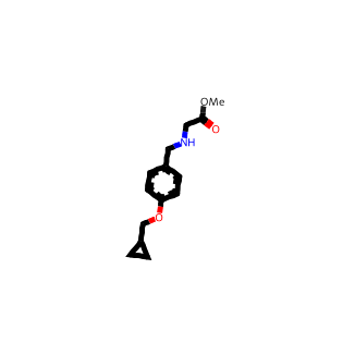 COC(=O)CNCc1ccc(OCC2CC2)cc1